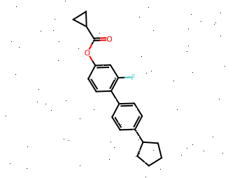 O=C(Oc1ccc(-c2ccc(C3CCCC3)cc2)c(F)c1)C1CC1